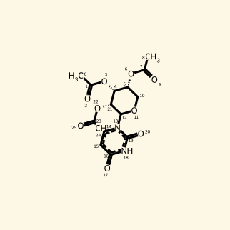 CC(=O)O[C@@H]1[C@H](OC(C)=O)COC(n2ccc(=O)[nH]c2=O)[C@@H]1OC(C)=O